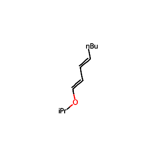 CCCCC=CC=COC(C)C